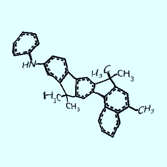 Cc1cc2c(c3ccccc13)-c1cc3c(cc1C2(C)C)-c1ccc(Nc2ccccc2)cc1C3(C)C